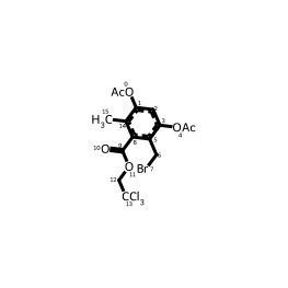 CC(=O)Oc1cc(OC(C)=O)c(CBr)c(C(=O)OCC(Cl)(Cl)Cl)c1C